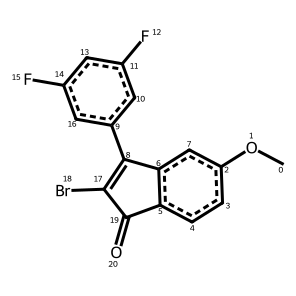 COc1ccc2c(c1)C(c1cc(F)cc(F)c1)=C(Br)C2=O